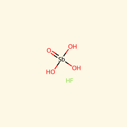 F.[O]=[Sb]([OH])([OH])[OH]